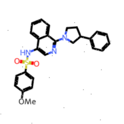 COc1ccc(S(=O)(=O)Nc2cnc(N3CCC(c4ccccc4)C3)c3ccccc23)cc1